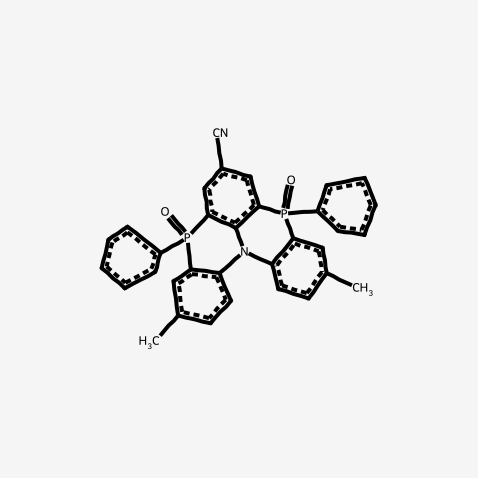 Cc1ccc2c(c1)P(=O)(c1ccccc1)c1cc(C#N)cc3c1N2c1ccc(C)cc1P3(=O)c1ccccc1